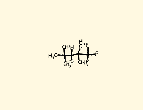 [2H]C([2H])(C(C)(C)C)C(C)(C)C(F)(F)F